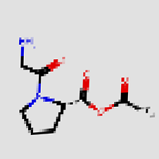 NCC(=O)N1CCC[C@H]1C(=O)OC(=O)C(F)(F)F